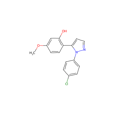 COc1ccc(-c2ccnn2-c2ccc(Cl)cc2)c(O)c1